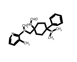 Cc1cccnc1N(C)CC1(NC=O)CCC(c2ccccc2)(N(C)C)CC1